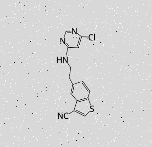 N#Cc1csc2ccc(CCNc3cc(Cl)ncn3)cc12